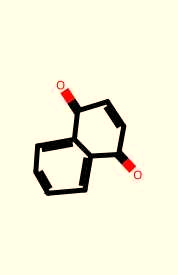 O=C1C=CC(=O)c2cc[c]cc21